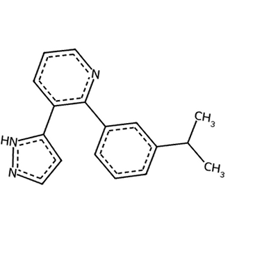 CC(C)c1cccc(-c2ncccc2-c2ccn[nH]2)c1